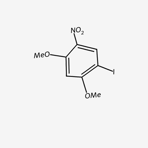 COc1cc(OC)c([N+](=O)[O-])cc1I